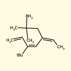 BC(C)(C)CC(=C/C)/C=C(\C=C)C(C)(C)C